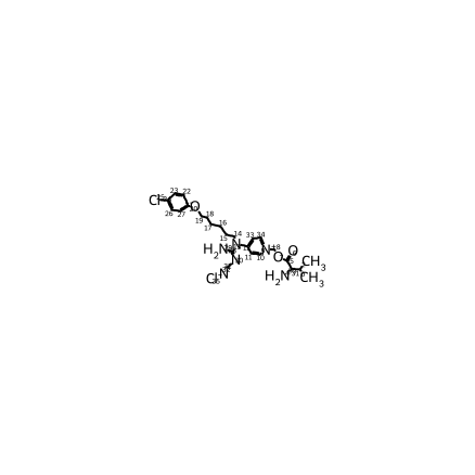 CC(C)[C@@H](N)C(=O)OC[n+]1ccc(N(CCCCCCOc2ccc(Cl)cc2)C(N)=NC#N)cc1.[Cl-]